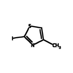 Cc1csc(I)n1